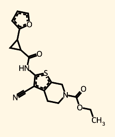 CCOC(=O)N1CCc2c(sc(NC(=O)C3CC3c3ccco3)c2C#N)C1